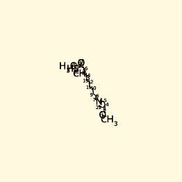 COCC1CCN(CCCCCCCCCCC(=O)[SH](C)C)C1